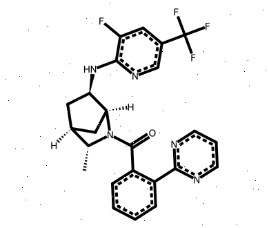 C[C@@H]1[C@H]2C[C@@H](Nc3ncc(C(F)(F)F)cc3F)[C@H](C2)N1C(=O)c1ccccc1-c1ncccn1